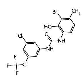 Cc1ccc(NC(=O)Nc2cc(Cl)cc(OC(F)(F)F)c2)c(O)c1Br